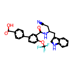 N#CCC(Cc1c[nH]c2ccccc12)NC(=O)c1cc(-c2ccc(C(=O)O)cc2)ccc1OC(F)(F)F